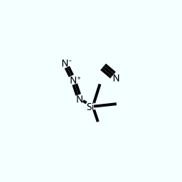 C#N.C[Si](C)(C)N=[N+]=[N-]